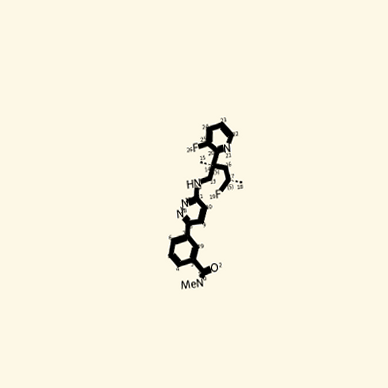 CNC(=O)c1cccc(-c2ccc(NC[C@](C)(C[C@H](C)F)c3ncccc3F)nn2)c1